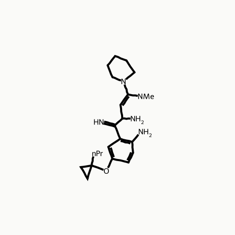 CCCC1(Oc2ccc(N)c(C(=N)C(N)/C=C(\NC)N3CCCCC3)c2)CC1